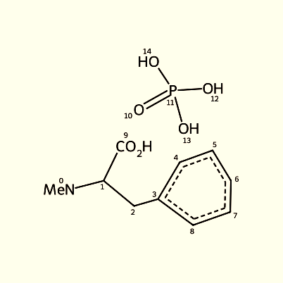 CNC(Cc1ccccc1)C(=O)O.O=P(O)(O)O